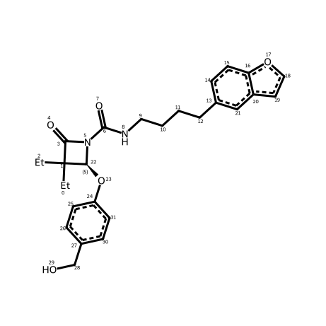 CCC1(CC)C(=O)N(C(=O)NCCCCc2ccc3occc3c2)[C@H]1Oc1ccc(CO)cc1